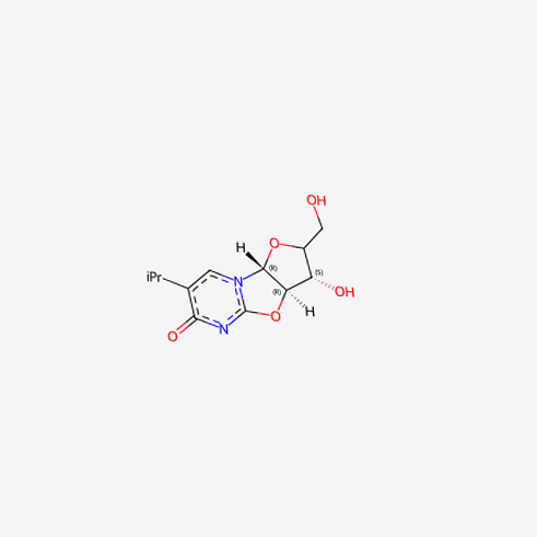 CC(C)c1cn2c(nc1=O)O[C@H]1[C@H]2OC(CO)[C@@H]1O